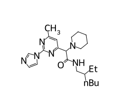 CCCCC(CC)CNC(=O)C(c1cc(C)nc(-n2ccnc2)n1)N1CCCCC1